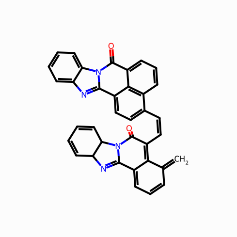 C=c1cccc2c3n(c(=O)c(/C=C\c4ccc5c6c4cccc6c(=O)n4c6ccccc6nc54)c12)C1C=CC=CC1N=3